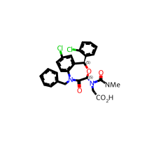 CNC(=O)N(CC(=O)O)[C@H]1O[C@H](c2ccccc2Cl)c2cc(Cl)ccc2N(Cc2ccccc2)C1=O